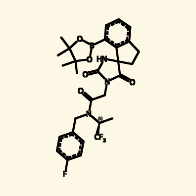 C[C@H](N(Cc1ccc(F)cc1)C(=O)CN1C(=O)NC2(CCc3cccc(B4OC(C)(C)C(C)(C)O4)c32)C1=O)C(F)(F)F